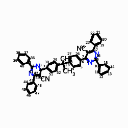 CC(C)(c1ccc(-c2nc(-c3ccccc3)nc(-c3ccccc3)c2C#N)cc1)c1ccc(-c2nc(-c3ccccc3)nc(-c3ccccc3)c2C#N)cc1